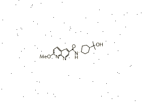 COc1ccc2cc(C(=O)N[C@H]3CC[C@H](C(C)(C)O)CC3)cnc2n1